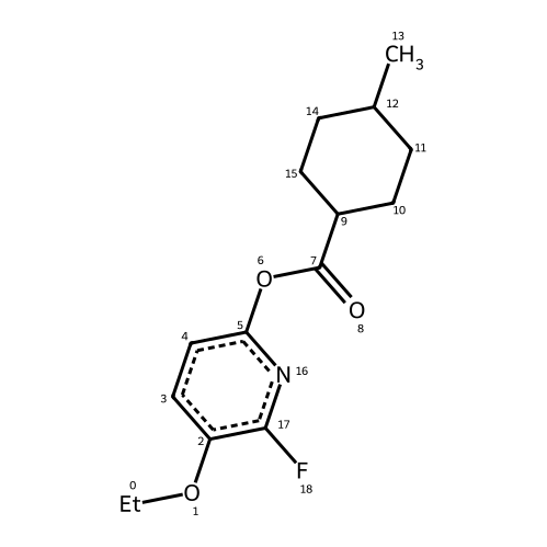 CCOc1ccc(OC(=O)C2CCC(C)CC2)nc1F